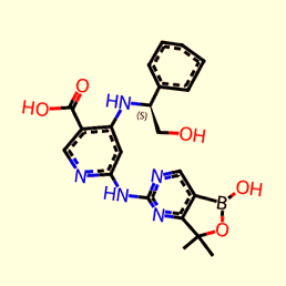 CC1(C)OB(O)c2cnc(Nc3cc(N[C@H](CO)c4ccccc4)c(C(=O)O)cn3)nc21